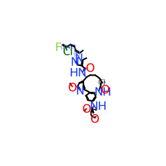 COC(=C=O)Nc1ccc2c(c1)NC(=O)[C@@H](C)CCCC(NC(=O)c1cnn(/C(C)=C/C=C\C(Cl)=C\F)c1C)c1cc(OC)nc-2c1